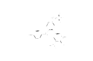 CN(C)c1cc(-c2cc(NS(C)(=O)=O)ccc2Nc2ccc(Cl)cc2)cn(C)c1=O